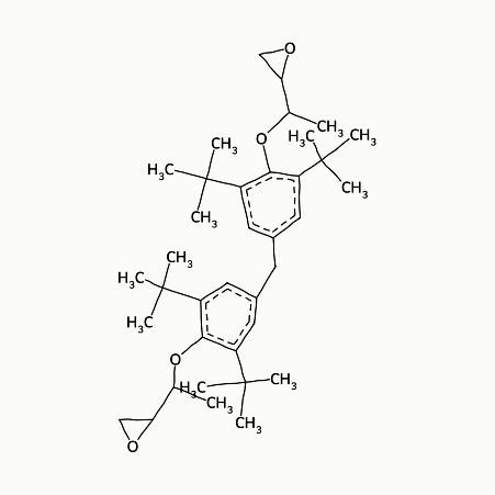 CC(Oc1c(C(C)(C)C)cc(Cc2cc(C(C)(C)C)c(OC(C)C3CO3)c(C(C)(C)C)c2)cc1C(C)(C)C)C1CO1